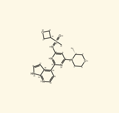 C[C@@H]1COCCN1c1cc(N=S(C)(=O)C2COC2)nc(-c2ccnc3[nH]ccc23)n1